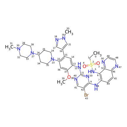 CCS(=O)(=O)Nc1c(Nc2nc(Nc3cc(-c4cnn(C)c4)c(N4CCC(N5CCN(C)CC5)CC4)cc3OC)ncc2Br)ccc2nccnc12